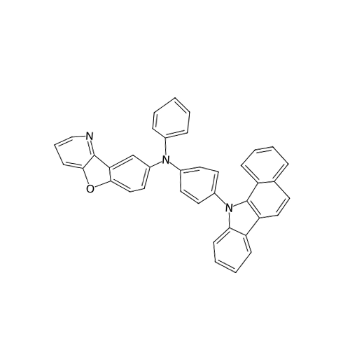 c1ccc(N(c2ccc(-n3c4ccccc4c4ccc5ccccc5c43)cc2)c2ccc3oc4cccnc4c3c2)cc1